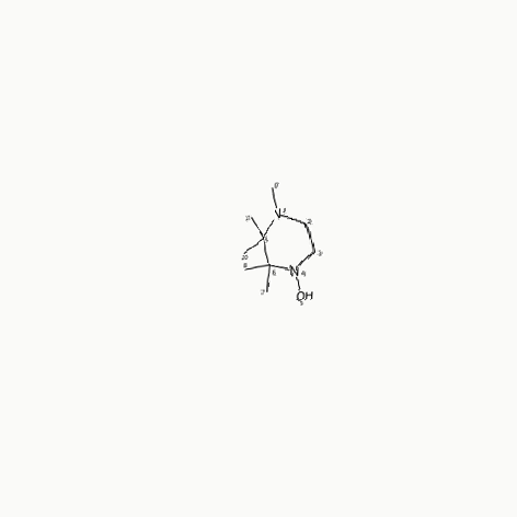 CN1CCN(O)C(C)(C)C1(C)C